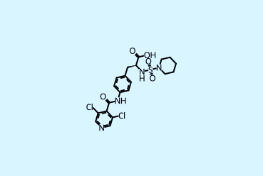 O=C(Nc1ccc(C[C@H](NS(=O)(=O)N2CCCCC2)C(=O)O)cc1)c1c(Cl)cncc1Cl